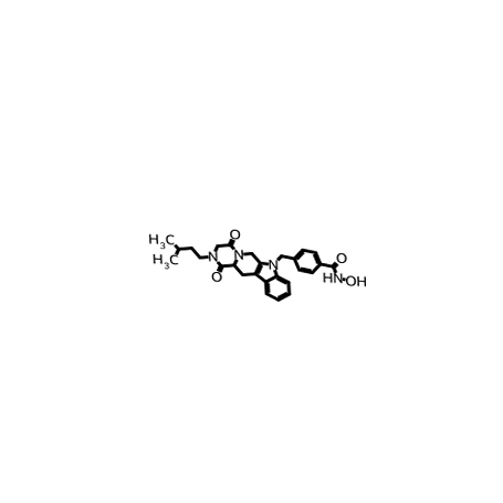 CC(C)CCN1CC(=O)N2Cc3c(c4ccccc4n3Cc3ccc(C(=O)NO)cc3)CC2C1=O